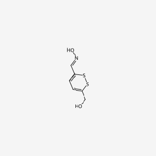 OCC1=CC=C(C=NO)SS1